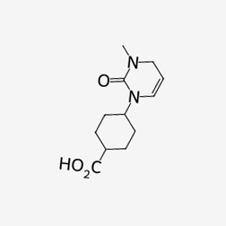 CN1CC=CN(C2CCC(C(=O)O)CC2)C1=O